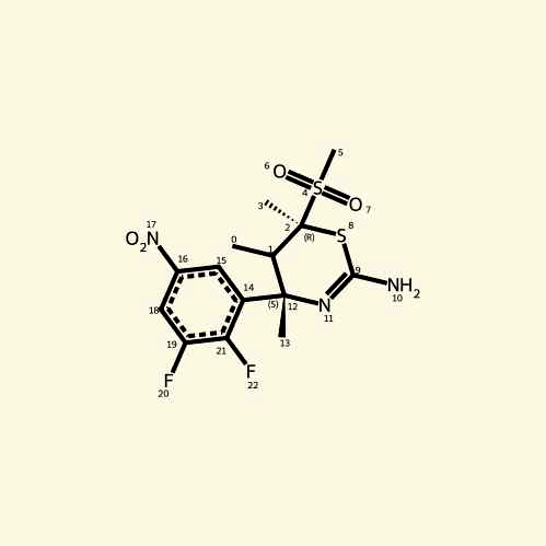 CC1[C@@](C)(S(C)(=O)=O)SC(N)=N[C@]1(C)c1cc([N+](=O)[O-])cc(F)c1F